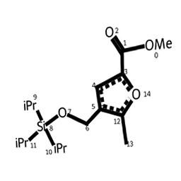 COC(=O)c1cc(CO[Si](C(C)C)(C(C)C)C(C)C)c(C)o1